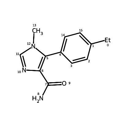 CCc1ccc(-c2c(C(N)=O)ncn2C)cc1